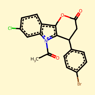 CC(=O)n1c2c(c3ccc(Cl)cc31)OC(=O)CC2c1ccc(Br)cc1